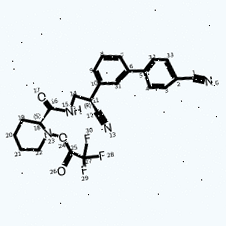 N#Cc1ccc(-c2cccc([C@@H](C#N)CNC(=O)[C@@H]3CCCCN3OC(=O)C(F)(F)F)c2)cc1